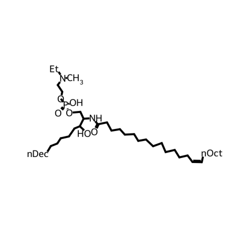 CCCCCCCC/C=C\CCCCCCCCCCCCCC(=O)NC(COP(=O)(O)OCCN(C)CC)C(O)CCCCCCCCCCCCCCC